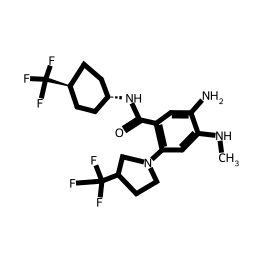 CNc1cc(N2CCC(C(F)(F)F)C2)c(C(=O)N[C@H]2CC[C@H](C(F)(F)F)CC2)cc1N